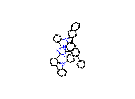 c1ccc(-c2cccc(-c3nc(-c4ccccc4-n4c5ccccc5c5cc6ccccc6cc54)nc(-c4cccc5c6ccccc6n(-c6ccccc6)c45)n3)c2)cc1